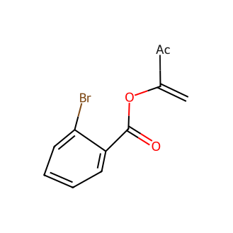 C=C(OC(=O)c1ccccc1Br)C(C)=O